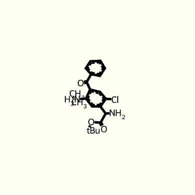 CC.CC(C)(C)OC(=O)C(N)c1cc(N)c(C(=O)c2ccccc2)cc1Cl